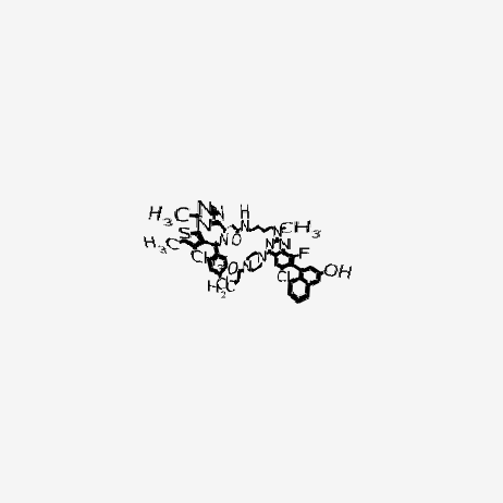 C=CC(=O)N1CCN(c2nc(N(C)CCCCNC(=O)C[C@@H]3N=C(c4ccc(Cl)cc4)c4c(sc(C)c4C)-n4c(C)nnc43)nc3c(F)c(-c4cc(O)cc5ccccc45)c(Cl)cc23)CC1